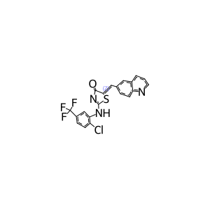 O=C1N=C(Nc2cc(C(F)(F)F)ccc2Cl)S/C1=C\c1ccc2ncccc2c1